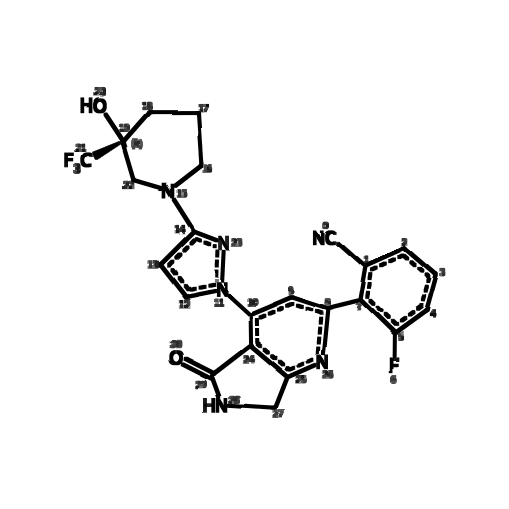 N#Cc1cccc(F)c1-c1cc(-n2ccc(N3CCC[C@](O)(C(F)(F)F)C3)n2)c2c(n1)CNC2=O